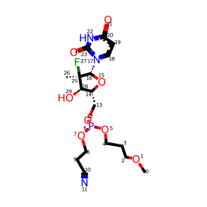 COCCCOP(OCCC#N)OC[C@H]1O[C@@H](n2ccc(=O)[nH]c2=O)[C@](C)(F)[C@@H]1O